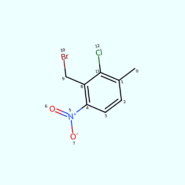 Cc1ccc([N+](=O)[O-])c(CBr)c1Cl